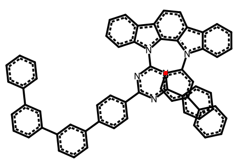 c1ccc(-c2cccc(-c3cccc(-c4ccc(-c5nc(-c6ccccc6)nc(-n6c7ccccc7c7ccc8c9ccccc9n(-c9cccc(-c%10ccccc%10)c9)c8c76)n5)cc4)c3)c2)cc1